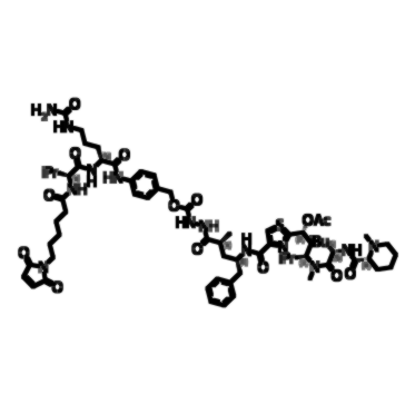 CC[C@H](C)[C@H](NC(=O)[C@H]1CCCCN1C)C(=O)N(C)[C@H](C[C@@H](OC(C)=O)c1nc(C(=O)N[C@@H](Cc2ccccc2)C[C@H](C)C(=O)NNC(=O)OCc2ccc(NC(=O)[C@H](CCCNC(N)=O)NC(=O)[C@@H](NC(=O)CCCCCN3C(=O)C=CC3=O)C(C)C)cc2)cs1)C(C)C